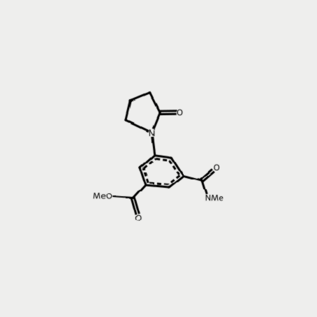 CNC(=O)c1cc(C(=O)OC)cc(N2CCCC2=O)c1